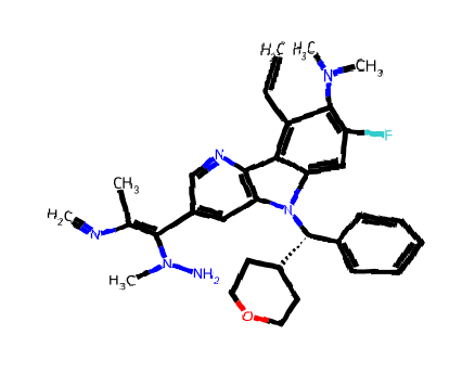 C=Cc1c(N(C)C)c(F)cc2c1c1ncc(/C(=C(\C)N=C)N(C)N)cc1n2[C@H](c1ccccc1)C1CCOCC1